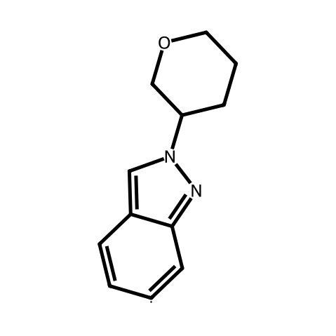 [c]1ccc2cn(C3CCCOC3)nc2c1